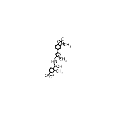 Cc1c([C@@H](O)CNCc2cc(-c3ccc4oc(=O)n(C)c4c3)nn2C)ccc2c1COC2=O